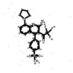 Cc1nc2c(N3CCCC3)cccc2c(-c2ccc(S(C)(=O)=O)cc2)c1C(=O)C(F)(F)F